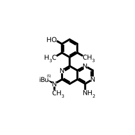 CC[C@H](C)N(C)c1cc2c(N)ncnc2c(-c2c(C)ccc(O)c2C)n1